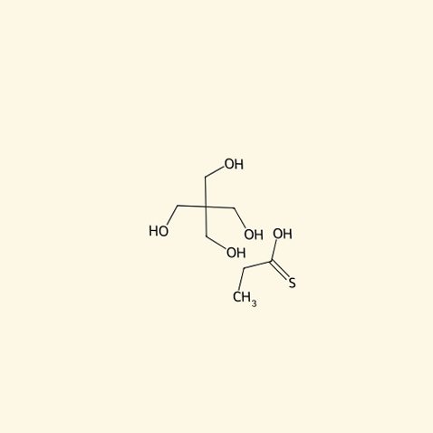 CCC(O)=S.OCC(CO)(CO)CO